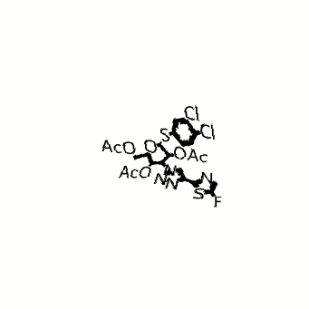 CC(=O)OCC1O[C@H](Sc2ccc(Cl)c(Cl)c2)C(OC(C)=O)C(n2cc(-c3ncc(F)s3)nn2)[C@H]1OC(C)=O